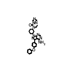 CCN(C(=O)n1cncn1)C1CCCC(n2nc(-c3ccc(Oc4ccccc4)cc3)c3c(N)ncnc32)C1